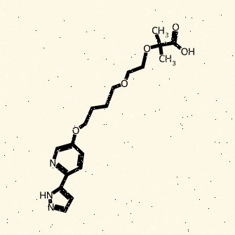 CC(C)(OCCOCCCCOc1ccc(-c2ccn[nH]2)nc1)C(=O)O